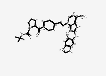 CC(C)(C)OC(=O)N1CCCC1C(=O)N1CCC(CCn2cnc(N)c3nc(Sc4cc5c(cc4Br)OCO5)nc2-3)CC1